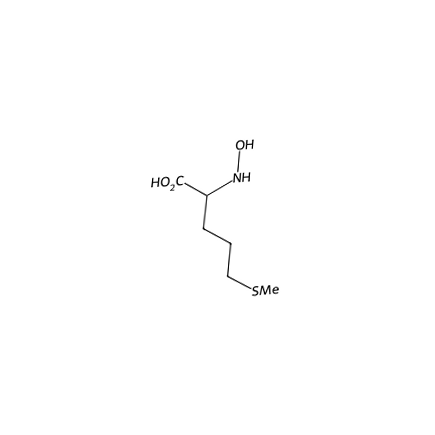 CSCCCC(NO)C(=O)O